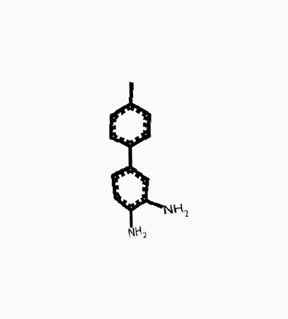 Cc1ccc(-c2ccc(N)c(N)c2)cc1